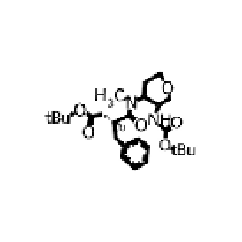 CN(C(=O)[C@@H](CC(=O)OC(C)(C)C)Cc1ccccc1)C1CCOCC1NC(=O)OC(C)(C)C